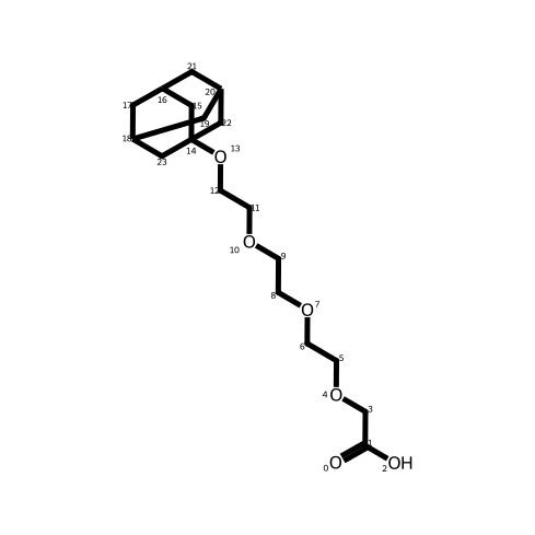 O=C(O)COCCOCCOCCOC12CC3CC(CC(C3)C1)C2